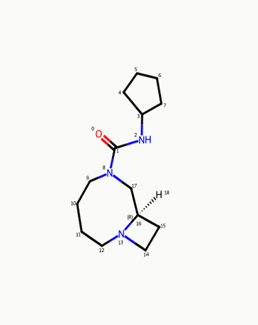 O=C(NC1CCCC1)N1CCCCN2CC[C@@H]2C1